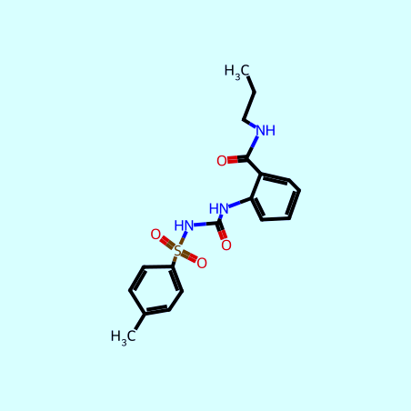 CCCNC(=O)c1ccccc1NC(=O)NS(=O)(=O)c1ccc(C)cc1